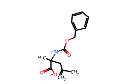 C=C(C)CC(C)(NC(=O)OCc1ccccc1)C(=O)O